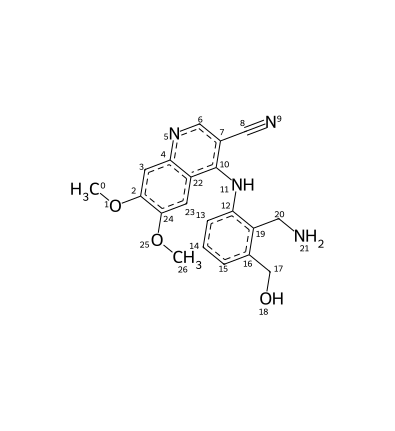 COc1cc2ncc(C#N)c(Nc3cccc(CO)c3CN)c2cc1OC